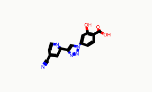 N#Cc1ccnc(-c2cn(-c3ccc(C(=O)O)c(O)c3)nn2)c1